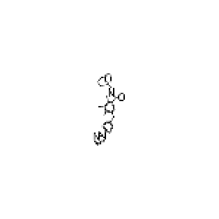 Cc1c(Cc2ccc(-n3cccn3)cc2)cc2c(c1C)CN(CC1CCCO1)C2=O